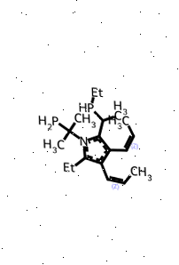 C/C=C\c1c(/C=C\C)c(C(C)PCC)n(C(C)(C)P)c1CC